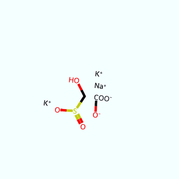 O=C([O-])[O-].O=S([O-])CO.[K+].[K+].[Na+]